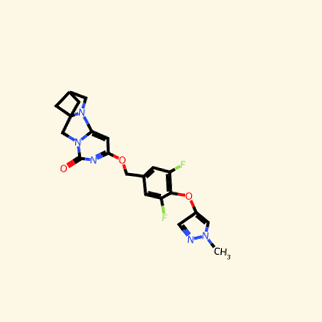 Cn1cc(Oc2c(F)cc(COc3cc4n(c(=O)n3)CC35CC(CN43)C5)cc2F)cn1